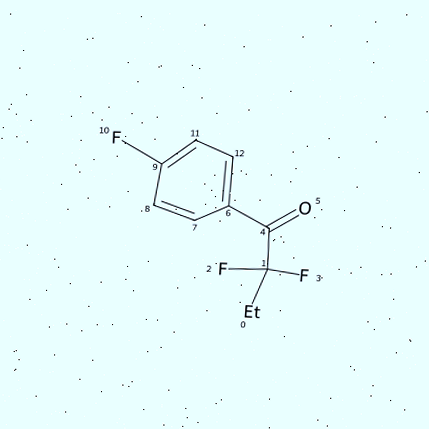 CCC(F)(F)C(=O)c1ccc(F)cc1